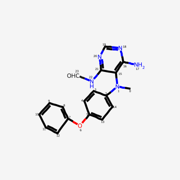 CN(c1ccc(Oc2ccccc2)cc1)c1c(N)ncnc1NC=O